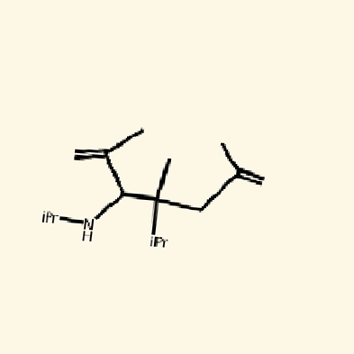 C=C(C)CC(C)(C(C)C)C(NC(C)C)C(=C)C